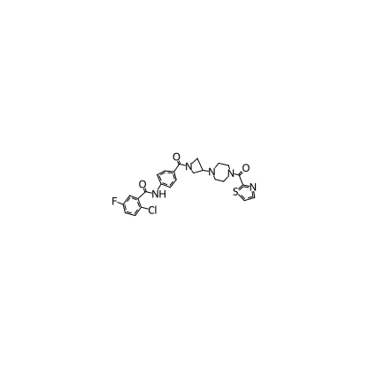 O=C(Nc1ccc(C(=O)N2CC(N3CCN(C(=O)c4nccs4)CC3)C2)cc1)c1cc(F)ccc1Cl